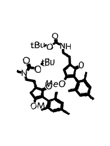 COC1=C(c2c(C)cc(C)cc2C)C(=O)C(CCN(C)C(=O)OC(C)(C)C)C1.COC1=C(c2c(C)cc(C)cc2C)C(=O)C(CCNC(=O)OC(C)(C)C)C1